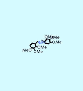 COc1ccc(CNCc2ccc(OC)c(OC)c2OC)c(OC)c1OC